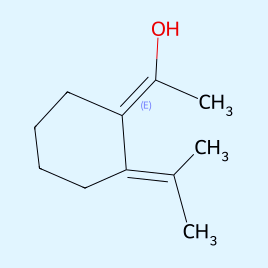 CC(C)=C1CCCC/C1=C(/C)O